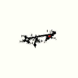 CCOc1ccc(N2CCN(c3ccc(-c4cccnc4OCC)cc3CNCCCOCCOCCOCCOCCNC(=O)[C@@H](CCCCNC(=O)CN3CCN(CC(=O)O)CCN(CC(=O)O)CCN(CC(=O)O)CC3)NC(=O)[C@@H](CCC(=O)O)NC(=O)CCCc3ccc(I)cc3)[C@H](CC)C2)c(C(F)(F)F)n1